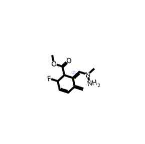 C=C1C=CC(F)C(C(=O)OC)/C1=C/N(C)N